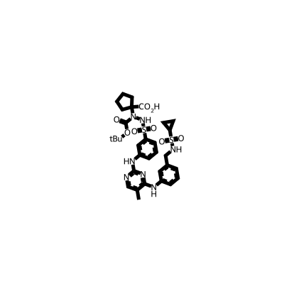 Cc1cnc(Nc2cccc(S(=O)(=O)NN(C(=O)OC(C)(C)C)C3(C(=O)O)CCCC3)c2)nc1Nc1cccc(CNS(=O)(=O)C2CC2)c1